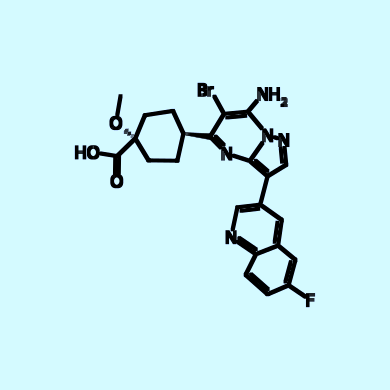 CO[C@]1(C(=O)O)CC[C@@H](c2nc3c(-c4cnc5ccc(F)cc5c4)cnn3c(N)c2Br)CC1